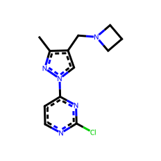 Cc1nn(-c2ccnc(Cl)n2)cc1CN1CCC1